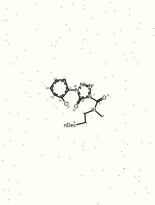 CCCCCCCCCCCCN(C)C(=O)n1nnn(-c2ccccc2Cl)c1=O